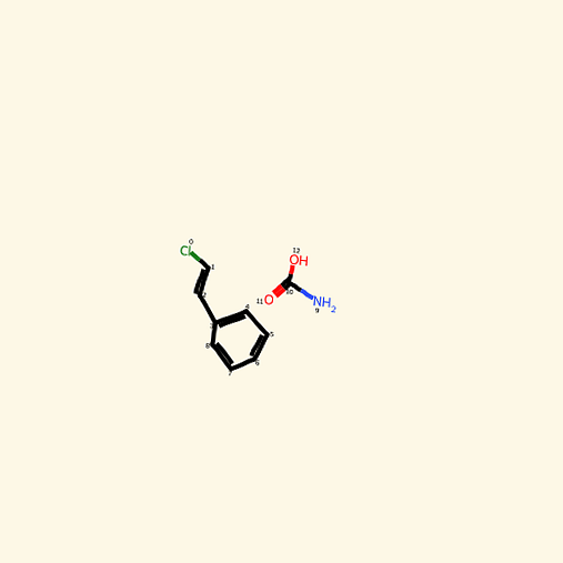 ClC=Cc1ccccc1.NC(=O)O